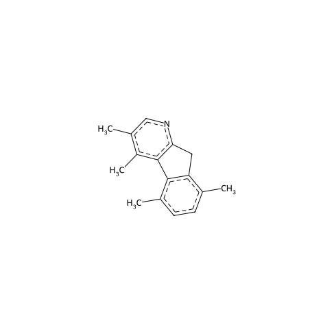 Cc1cnc2c(c1C)-c1c(C)ccc(C)c1C2